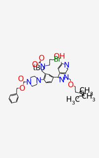 CC(C)(C)OC(=O)N(CCCO)Cc1cc(-c2nn(COCC[Si](C)(C)C)c3cnc(Br)cc23)ccc1N1CCN(C(=O)OCc2ccccc2)CC1